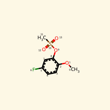 COc1ccc(F)cc1OS(C)(=O)=O